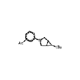 CC(=O)c1cccc(N2CC3C(C2)C3C(C)(C)C)c1